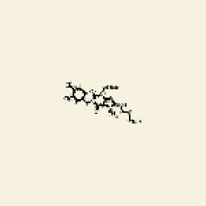 COCn1c(=O)n(Cc2ccc(Cl)c(Cl)c2)c(=O)c2c1nc(NCCCO)n2C